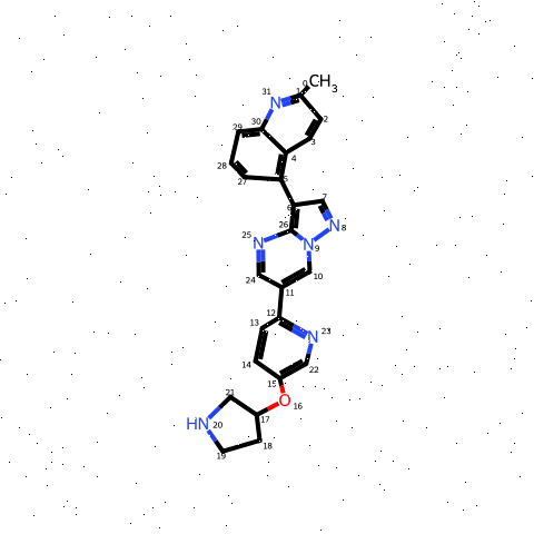 Cc1ccc2c(-c3cnn4cc(-c5ccc(OC6CCNC6)cn5)cnc34)cccc2n1